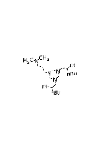 CCCCC(CC)CN1CN(CCCN(C)C)CN(CC(CC)CCCC)C1